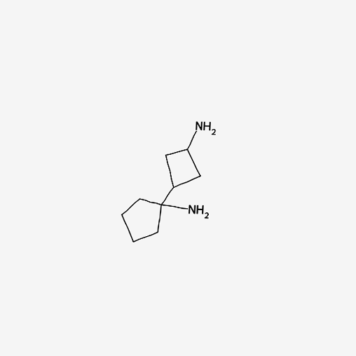 NC1CC(C2(N)CCCC2)C1